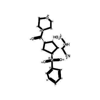 N#CCNC(=O)O.O=C([C@@H]1CC[C@@H](S(=O)(=O)c2ccccc2)C1)N1CCOCC1